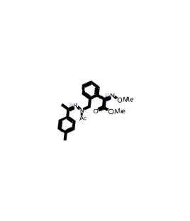 CO/N=C(\C(=O)OC)c1ccccc1CN(/N=C(/C)c1ccc(C)cc1)C(C)=O